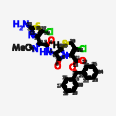 CON=C(C(=O)N[C@@H]1C(=O)N2C(C(=O)OC(c3ccccc3)c3ccccc3)=C(Cl)CS[C@@H]12)c1nc(N)sc1Cl